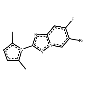 Cc1ccc(C)n1-c1nc2cc(F)c(Br)cn2n1